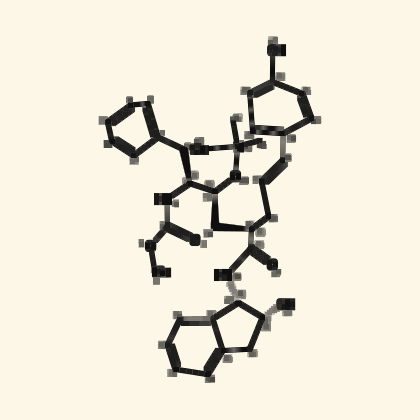 CC(C)(C)OC(=O)N[C@@H](Cc1ccccc1)[C@H](C[C@@H](CC=Cc1ccc(O)cc1)C(=O)N[C@H]1c2ccccc2C[C@H]1O)O[Si](C)(C)C(C)(C)C